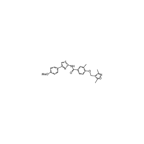 COc1ccc(-c2csc(NC(=O)c3ccc(OCc4c(C)noc4C)c(C)c3)n2)cc1